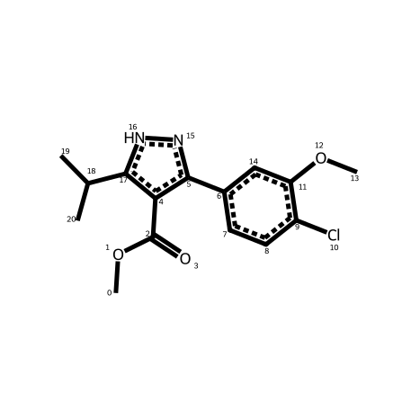 COC(=O)c1c(-c2ccc(Cl)c(OC)c2)n[nH]c1C(C)C